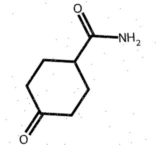 NC(=O)C1CCC(=O)CC1